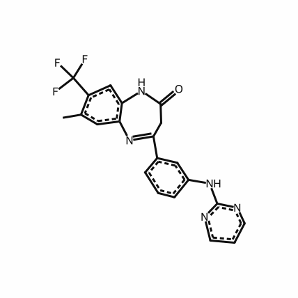 Cc1cc2c(cc1C(F)(F)F)NC(=O)CC(c1cccc(Nc3ncccn3)c1)=N2